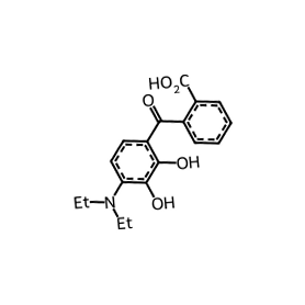 CCN(CC)c1ccc(C(=O)c2ccccc2C(=O)O)c(O)c1O